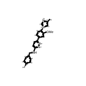 COc1cc(-c2ccc(NCc3ccc(F)cc3)nn2)ccc1-n1cnc(C)c1